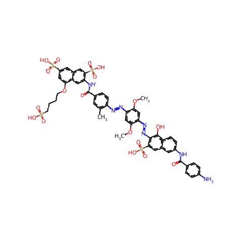 COc1cc(N=Nc2c(S(=O)(=O)O)cc3cc(NC(=O)c4ccc(N)cc4)ccc3c2O)c(OC)cc1N=Nc1ccc(C(=O)Nc2cc3c(OCCCCS(=O)(=O)O)cc(S(=O)(=O)O)cc3cc2S(=O)(=O)O)cc1C